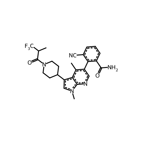 Cc1c(-c2c(C#N)cccc2C(N)=O)cnc2c1c(C1CCN(C(=O)C(C)C(F)(F)F)CC1)cn2C